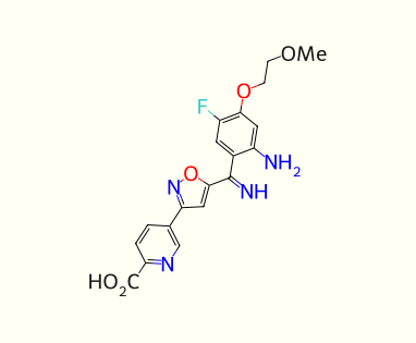 COCCOc1cc(N)c(C(=N)c2cc(-c3ccc(C(=O)O)nc3)no2)cc1F